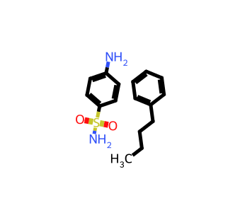 CCCCc1ccccc1.Nc1ccc(S(N)(=O)=O)cc1